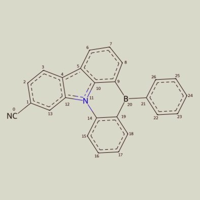 N#Cc1ccc2c3cccc4c3n(c2c1)-c1ccccc1B4c1ccccc1